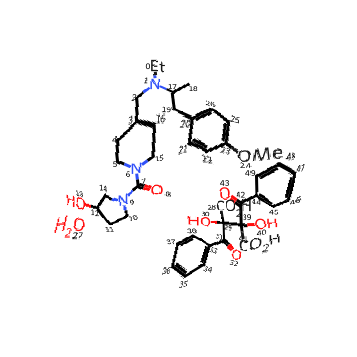 CCN(CC1CCN(C(=O)N2CCC(O)C2)CC1)C(C)Cc1ccc(OC)cc1.O.O=C(O)C(O)(C(=O)c1ccccc1)C(O)(C(=O)O)C(=O)c1ccccc1